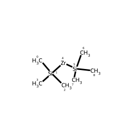 C[Si](C)(C)[Zr][Si](C)(C)C